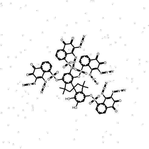 CC1(C)CC2(CC(C)(C)c3c(OS(=O)(=O)c4cccc5c4C(N=[N+]=[N-])=C(N=[N+]=[N-])C(=O)C5=O)cc(OS(=O)(=O)c4cccc5c4C(N=[N+]=[N-])=C(N=[N+]=[N-])C(=O)C5=O)c(OS(=O)(=O)c4cccc5c4C(N=[N+]=[N-])=C(N=[N+]=[N-])C(=O)C5=O)c32)c2c(O)c(O)cc(OS(=O)(=O)c3cccc4c3C(N=[N+]=[N-])=C(N=[N+]=[N-])C(=O)C4=O)c21